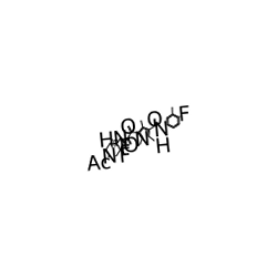 CC(=O)N1CC[C@@H](NC(=O)C(=O)c2c(C)c(C(=O)Nc3ccc(F)c(C)c3)c(C)n2C)C(F)(F)C1